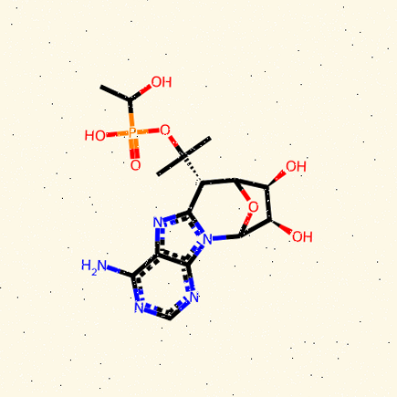 CC(O)P(=O)(O)OC(C)(C)[C@H]1c2nc3c(N)ncnc3n2C2OC1[C@@H](O)[C@H]2O